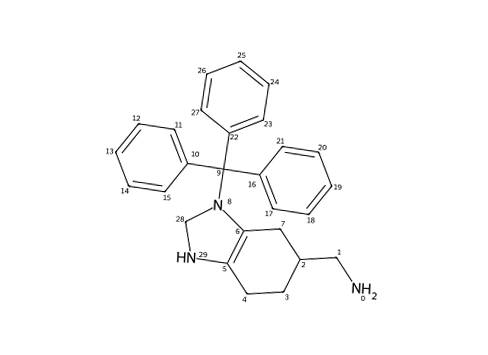 NCC1CCC2=C(C1)N(C(c1ccccc1)(c1ccccc1)c1ccccc1)CN2